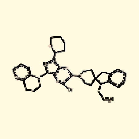 O=C(O)N[C@@H]1c2ccccc2CC12CCN(c1nc3c(nc1Br)c(N1CCCc4ncccc41)nn3C1CCCCO1)CC2